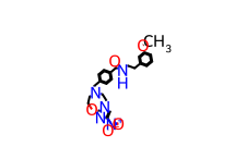 COc1cccc(CCNC(=O)c2ccc(CN3CCOc4nc([N+](=O)[O-])cn4CC3)cc2)c1